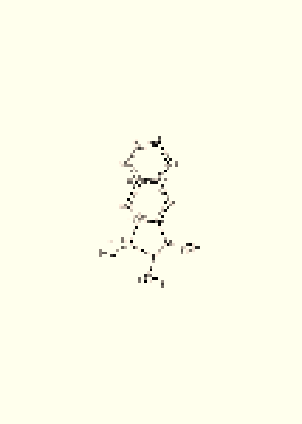 CC1C(O)c2cc3ccccc3cc2C1O